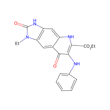 CCOC(=O)c1[nH]c2cc3[nH]c(=O)n(CC)c3cc2c(=O)c1Nc1ccccc1